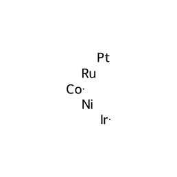 [Co].[Ir].[Ni].[Pt].[Ru]